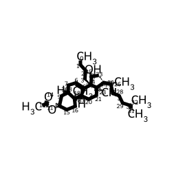 CCCC[C@]12C3=CC[C@H]4C[C@@H](OC(C)=O)CC[C@]4(C)[C@H]3CC[C@]1(C)[C@@H]([C@H](C)CCCC(C)C)C[C@H]2O